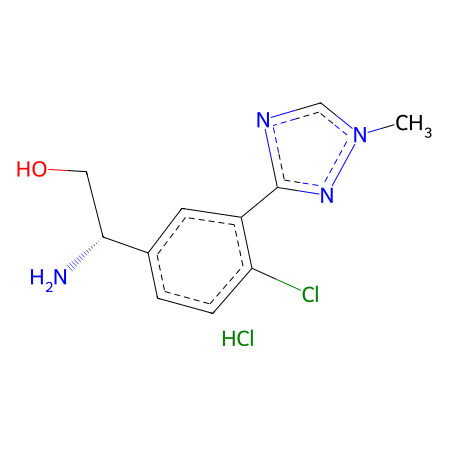 Cl.Cn1cnc(-c2cc([C@H](N)CO)ccc2Cl)n1